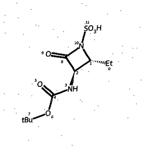 CC[C@@H]1[C@@H](NC(=O)OC(C)(C)C)C(=O)N1S(=O)(=O)O